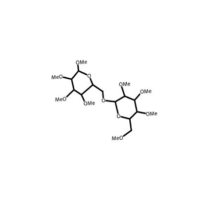 COCC1OC(OCC2OC(OC)C(OC)C(OC)C2OC)C(OC)C(OC)C1OC